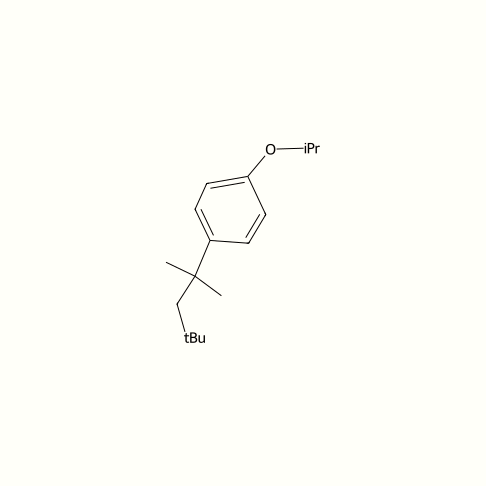 CC(C)Oc1ccc(C(C)(C)CC(C)(C)C)cc1